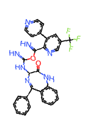 N=C(NC1N=C(c2ccccc2)c2ccccc2NC1=O)OC(=N)c1ncc(C(F)(F)F)cc1-c1ccncc1